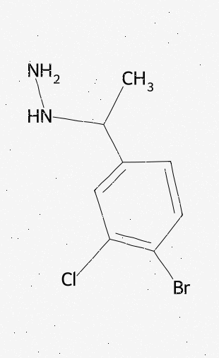 CC(NN)c1ccc(Br)c(Cl)c1